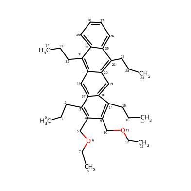 CCCc1c(COCC)c(COCC)c(CCC)c2cc3c(CCC)c4ccccc4c(CCC)c3cc12